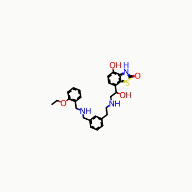 CCOc1ccccc1CNCc1cccc(CCNCC(O)c2ccc(O)c3[nH]c(=O)sc23)c1